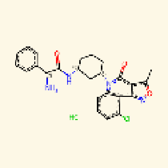 Cc1onc2c1c(=O)n([C@H]1CCC[C@@H](NC(=O)[C@@H](N)c3ccccc3)C1)c1cccc(Cl)c21.Cl